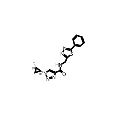 C[C@H]1C[C@H]1n1cc(C(=O)NCc2nnc(-c3ccccc3)s2)nn1